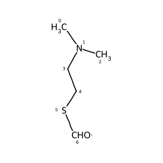 CN(C)CCS[C]=O